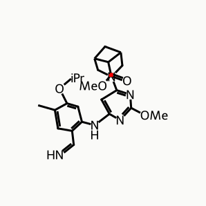 COC(=O)C1C2CC1CN(c1cc(Nc3cc(OC(C)C)c(C)cc3C=N)nc(OC)n1)C2